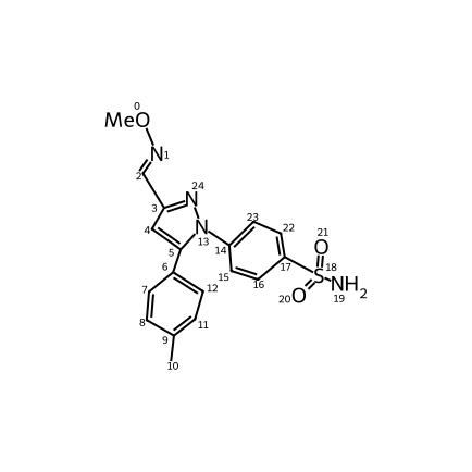 CO/N=C/c1cc(-c2ccc(C)cc2)n(-c2ccc(S(N)(=O)=O)cc2)n1